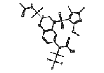 COc1nn(C)c(C)c1S(=O)(=O)N1C[C@@H](C(C)(C)NC(C)=O)Oc2ccc(N(C(=O)O)C(C)(C)C(F)(F)F)cc21